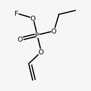 C=COP(=O)(OF)OCC